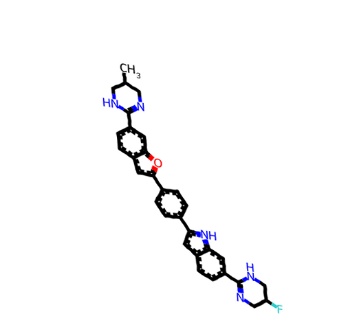 CC1CN=C(c2ccc3cc(-c4ccc(-c5cc6ccc(C7=NCC(F)CN7)cc6[nH]5)cc4)oc3c2)NC1